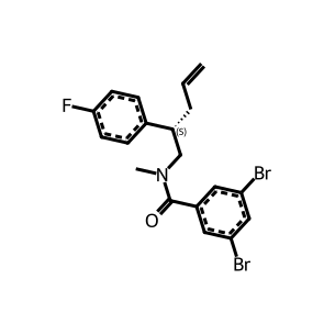 C=CC[C@H](CN(C)C(=O)c1cc(Br)cc(Br)c1)c1ccc(F)cc1